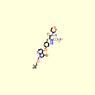 C[Si](C)(C)CCOCn1cc(Br)c2c(Oc3ccc(C[C@H](NC(=O)O)C(=O)NC4CCOCC4)cc3)ccnc21